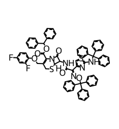 O=C(OC(c1ccccc1)c1ccccc1)C1=C(COc2ccc(F)cc2F)CS[C@@H]2C(NC(=O)/C(=N/OC(c3ccccc3)(c3ccccc3)c3ccccc3)c3csc(NC(c4ccccc4)(c4ccccc4)c4ccccc4)n3)C(=O)N12